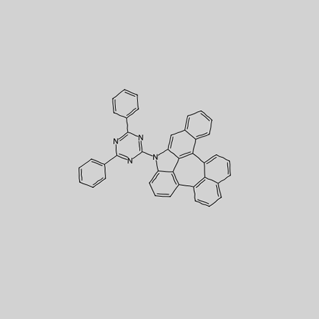 c1ccc(-c2nc(-c3ccccc3)nc(-n3c4cccc5c4c4c(c6ccccc6cc43)-c3cccc4cccc-5c34)n2)cc1